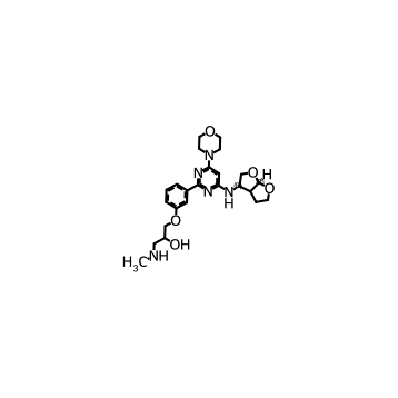 CNCC(O)COc1cccc(-c2nc(N[C@H]3CO[C@H]4OCCC43)cc(N3CCOCC3)n2)c1